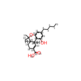 CCCCCc1cc(O)c2c(c1)OC(C)(C)[C@@H]1CCC(C(=O)O)=C[C@@H]21